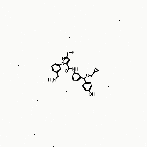 NCc1cccc(-n2nc(CF)cc2C(=O)Nc2cccc(C(OCC3CC3)c3ccc(O)cc3)c2)c1